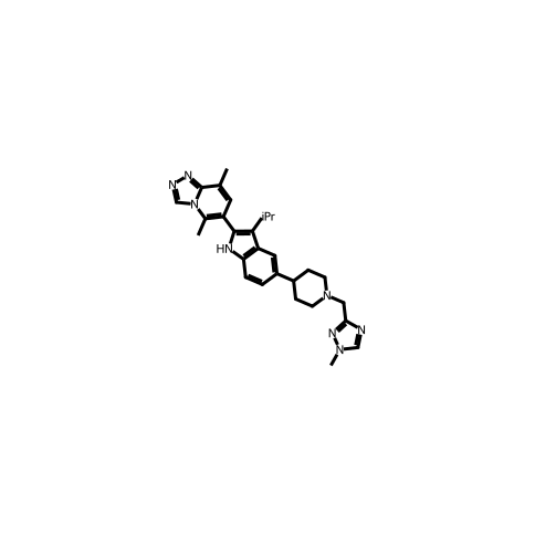 Cc1cc(-c2[nH]c3ccc(C4CCN(Cc5ncn(C)n5)CC4)cc3c2C(C)C)c(C)n2cnnc12